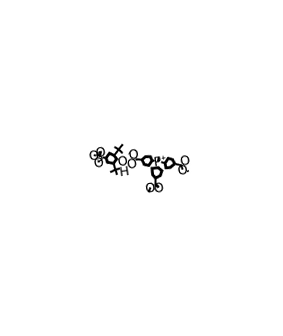 CC(C)(C)c1cc(S(=O)(=O)[O-])cc(C(C)(C)C)c1O.COC(=O)c1ccc([P+](C)(c2ccc(C(=O)OC)cc2)c2ccc(C(=O)OC)cc2)cc1